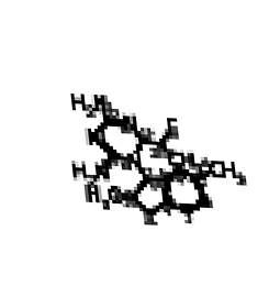 Cc1ccc2c(c1)[C@H](N1C(N)=NC(N)=NC1C(C)F)[C@@H](C)C2